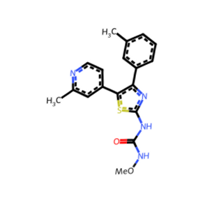 CONC(=O)Nc1nc(-c2cccc(C)c2)c(-c2ccnc(C)c2)s1